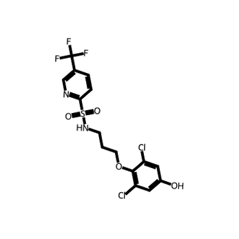 O=S(=O)(NCCCOc1c(Cl)cc(O)cc1Cl)c1ccc(C(F)(F)F)cn1